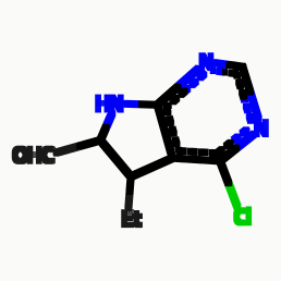 CCC1c2c(Cl)ncnc2NC1C=O